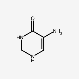 NC1=CNCNC1=O